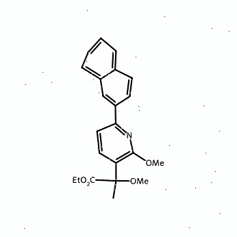 CCOC(=O)C(C)(OC)c1ccc(-c2ccc3ccccc3c2)nc1OC